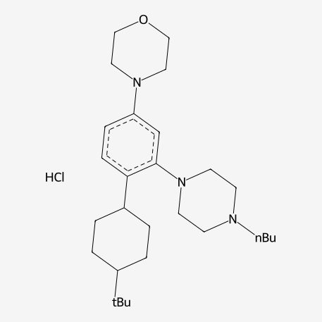 CCCCN1CCN(c2cc(N3CCOCC3)ccc2C2CCC(C(C)(C)C)CC2)CC1.Cl